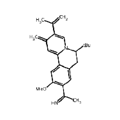 C=C(C)C1=CN2C(=CC1=C)c1cc(OC)c(C(C)=N)cc1CC2C(C)(C)C